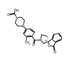 Cc1cc(N2CCN(C(=O)O)CC2)ccc1C(=O)N1CC[C@@]2(C1)OC(=O)c1ccccc12